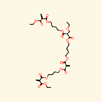 C=C(C(=O)OCC)C(=O)OCCCCOC(=O)C(=C)C(=O)OCCCCOC(=O)C(COCC)C(=O)OCCCCOC(=O)C(=C)C(=O)OCC